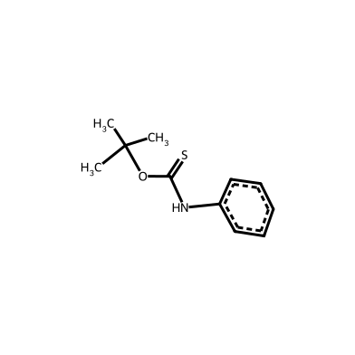 CC(C)(C)OC(=S)Nc1ccccc1